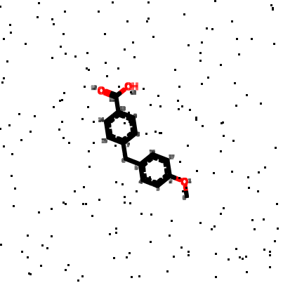 COc1ccc(Cc2ccc(C(=O)O)cc2)cc1